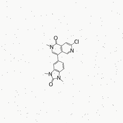 Cn1cc(-c2ccc3c(c2)n(C)c(=O)n3C)c2cnc(Cl)cc2c1=O